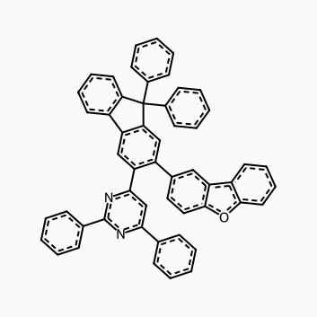 c1ccc(-c2cc(-c3cc4c(cc3-c3ccc5oc6ccccc6c5c3)C(c3ccccc3)(c3ccccc3)c3ccccc3-4)nc(-c3ccccc3)n2)cc1